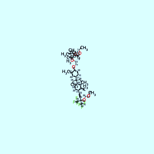 CCOC(=O)C[C@H](COc1ccc(C(CC)(CC)c2ccc(C#CC(OCOC)(C(F)(F)F)C(F)(F)F)c(C)c2)cc1C)O[Si](C)(C)C(C)(C)C